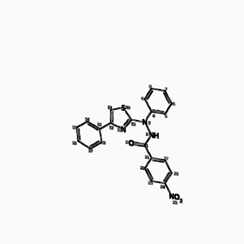 O=C(NN(c1ccccc1)c1nc(-c2ccccc2)cs1)c1ccc([N+](=O)[O-])cc1